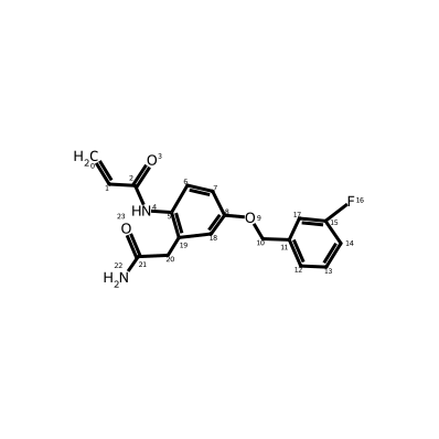 C=CC(=O)Nc1ccc(OCc2cccc(F)c2)cc1CC(N)=O